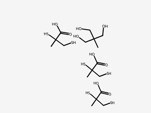 CC(CO)(CO)CO.CC(S)(CS)C(=O)O.CC(S)(CS)C(=O)O.CC(S)(CS)C(=O)O